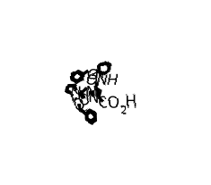 O=C(O)c1cc(C(=O)N[C@H]2CCCC[C@@H]2OCc2ccccc2)n(CC(=O)N2CCC[C@@H]2COCc2ccccc2)n1